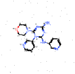 NC1=NC(Nc2cccnc2)N(c2cccnc2)C(N2CCOCC2)=N1